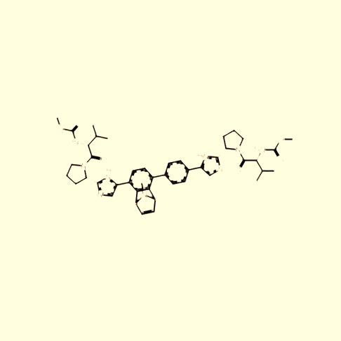 COC(=O)N[C@H](C(=O)N1CCC[C@H]1c1ncc(-c2ccc(-c3ccc(-c4cnc([C@@H]5CCCN5C(=O)[C@H](NC(=O)OC)C(C)C)[nH]4)c4c3C3C=CC4N3C)cc2)[nH]1)C(C)C